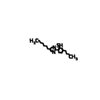 CCCCCCCc1cnc(-c2ccc(CCCC)cc2S)nc1